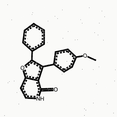 COc1ccc(-c2c(-c3ccccc3)oc3cc[nH]c(=O)c23)cc1